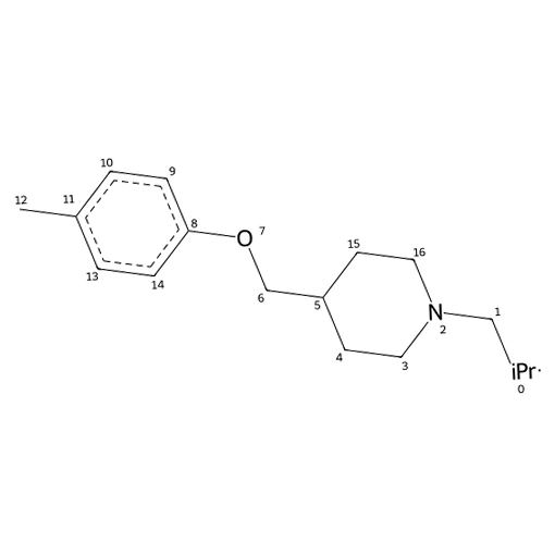 C[C](C)CN1CCC(COc2ccc(C)cc2)CC1